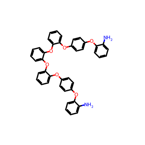 Nc1ccccc1Oc1ccc(Oc2ccccc2Oc2ccccc2Oc2ccccc2Oc2ccc(Oc3ccccc3N)cc2)cc1